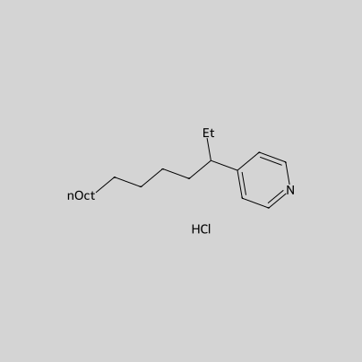 CCCCCCCCCCCCC(CC)c1ccncc1.Cl